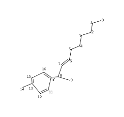 CCCCCCC=CC(C)c1ccc(C)cc1